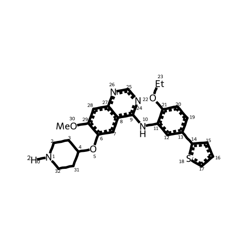 [2H]N1CCC(Oc2cc3c(Nc4cc(-c5cccs5)ccc4OCC)ncnc3cc2OC)CC1